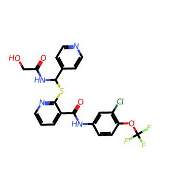 O=C(CO)NC(Sc1ncccc1C(=O)Nc1ccc(OC(F)(F)F)c(Cl)c1)c1ccncc1